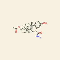 CC(=O)O[C@H]1CC[C@H]2[C@@H]3CC(C(N)=O)c4cc(O)ccc4[C@H]3CC[C@]12C